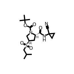 CC(C)CS(=O)(=O)[C@@H]1C[C@@H](C(=O)NC2(C#N)CC2)N(C(=O)OC(C)(C)C)C1